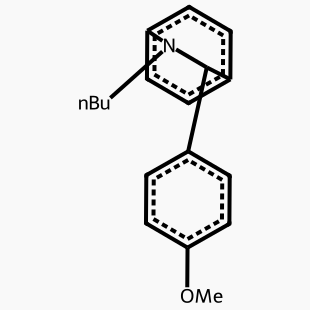 CCCCN1c2ccc(cc2)C1c1ccc(OC)cc1